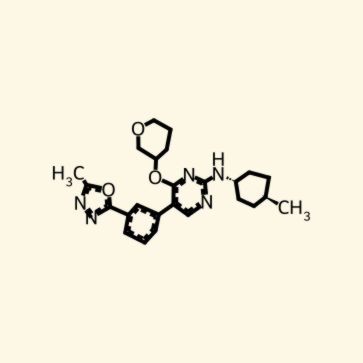 Cc1nnc(-c2cccc(-c3cnc(N[C@H]4CC[C@H](C)CC4)nc3OC3CCCOC3)c2)o1